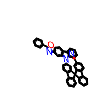 N#Cc1ccc2c(c1)C1(c3ccccc3-2)c2ccccc2-c2ccc(-n3c4ccccc4c4cc5oc(-c6ccccc6)nc5cc43)cc21